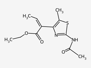 CC=C(C(=O)OCC)c1nc(NC(C)=O)sc1C